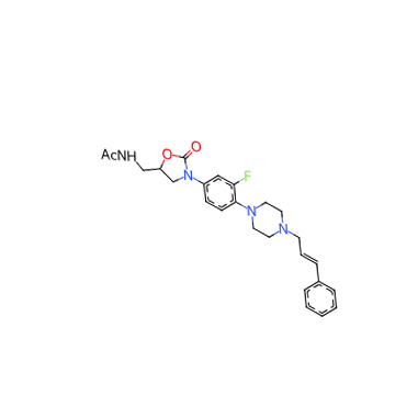 CC(=O)NCC1CN(c2ccc(N3CCN(CC=Cc4ccccc4)CC3)c(F)c2)C(=O)O1